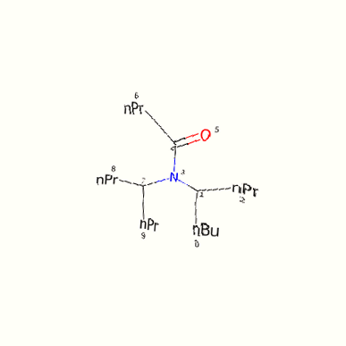 CCCCC(CCC)N(C(=O)CCC)C(CCC)CCC